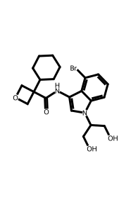 O=C(Nc1cn(C(CO)CO)c2cccc(Br)c12)C1(C2CCCCC2)COC1